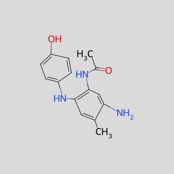 CC(=O)Nc1cc(N)c(C)cc1Nc1ccc(O)cc1